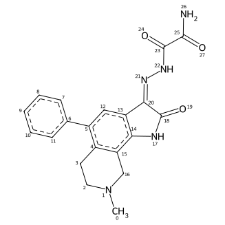 CN1CCc2c(-c3ccccc3)cc3c(c2C1)NC(=O)C3=NNC(=O)C(N)=O